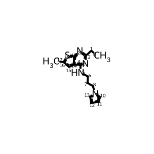 CCc1nc(NCCCn2cccc2)c2cc(C)sc2n1